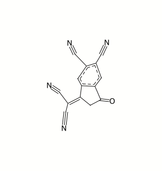 N#CC(C#N)=C1CC(=O)c2cc(C#N)c(C#N)cc21